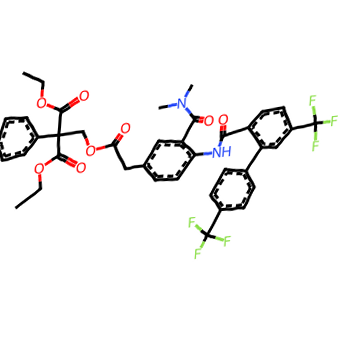 CCOC(=O)C(COC(=O)Cc1ccc(NC(=O)c2ccc(C(F)(F)F)cc2-c2ccc(C(F)(F)F)cc2)c(C(=O)N(C)C)c1)(C(=O)OCC)c1ccccc1